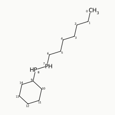 CCCCCCCPPC1CCCCC1